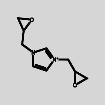 c1c[n+](CC2CO2)cn1CC1CO1